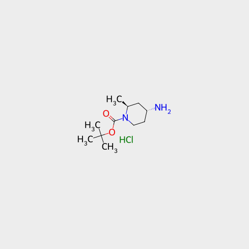 C[C@H]1C[C@H](N)CCN1C(=O)OC(C)(C)C.Cl